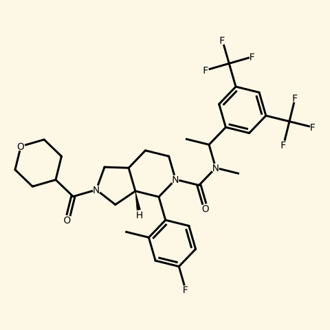 Cc1cc(F)ccc1C1[C@@H]2CN(C(=O)C3CCOCC3)CC2CCN1C(=O)N(C)C(C)c1cc(C(F)(F)F)cc(C(F)(F)F)c1